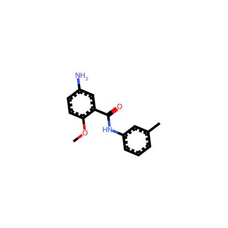 COc1ccc(N)cc1C(=O)Nc1cccc(C)c1